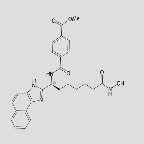 COC(=O)c1ccc(C(=O)N[C@@H](CCCCCC(=O)NO)c2nc3c(ccc4ccccc43)[nH]2)cc1